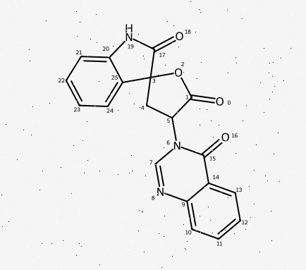 O=C1OC2(CC1n1cnc3ccccc3c1=O)C(=O)Nc1ccccc12